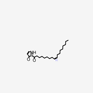 CCCCCCCC/C=C\CCCCCCCC(=O)n1[nH]ccc1=O